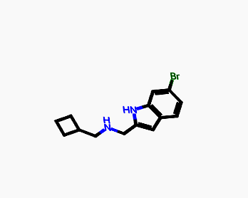 Brc1ccc2cc(CNCC3CCC3)[nH]c2c1